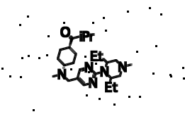 CCC1CN(C)CC(CC)N1c1ncc(CN(C)[C@H]2CC[C@H](C(=O)C(C)C)CC2)cn1